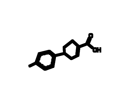 Cc1ccc(C2CC=C(C(=O)O)CC2)cc1